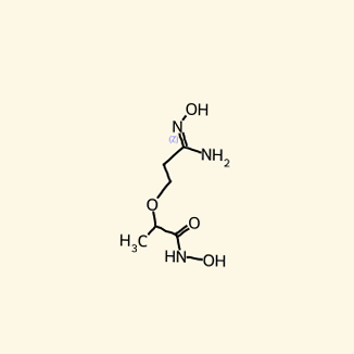 CC(OCC/C(N)=N/O)C(=O)NO